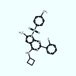 Cc1ccc(S(=O)(=O)n2c(C)cc3c(NC4CCC4)nc(-c4ccccc4F)nc32)cc1